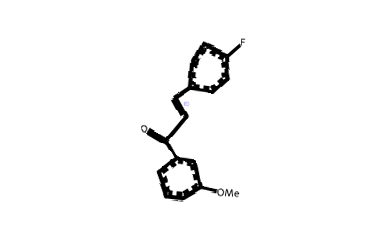 COc1cccc(C(=O)/C=C/c2ccc(F)cc2)c1